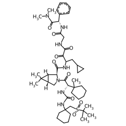 CN(C)C(=O)[C@@H](NC(=O)CNC(=O)C(=O)C(CC1CC1)NC(=O)[C@@H]1[C@@H]2[C@H](CN1C(=O)[C@@H](NC(=O)NC1(CS(=O)(=O)C(C)(C)C)CCCCC1)C1(C)CCCCC1)C2(C)C)c1ccccc1